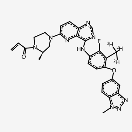 [2H]C([2H])([2H])c1c(Oc2ccc3c(c2)nnn3C)ccc(Nc2ncnc3ccc(N4CCN(C(=O)C=C)[C@H](C)C4)nc23)c1F